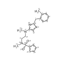 Cc1ccccc1Cc1nsc(N(C)CCN(C)S(=O)(=O)c2cccs2)n1